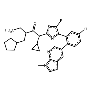 Cn1ccc2cc(-c3ccc(Cl)cc3-c3nc(N(C(=O)C(CC(=O)O)CC4CCCC4)C4CC4)sc3F)cnc21